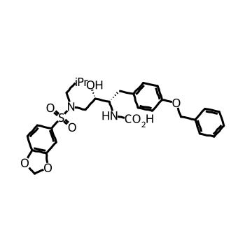 CC(C)CN(C[C@H](O)[C@H](Cc1ccc(OCc2ccccc2)cc1)NC(=O)O)S(=O)(=O)c1ccc2c(c1)OCO2